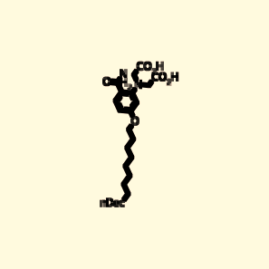 CCCCCCCCCCCCCCCCCCOc1ccc(C(N)=O)c(N(CC(=O)O)CC(=O)O)c1